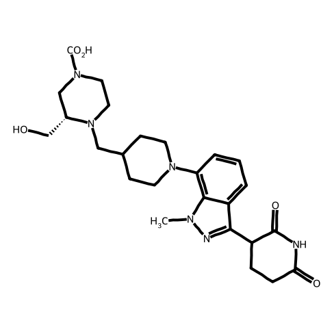 Cn1nc(C2CCC(=O)NC2=O)c2cccc(N3CCC(CN4CCN(C(=O)O)C[C@H]4CO)CC3)c21